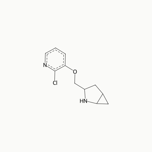 Clc1ncccc1OCC1CC2CC2N1